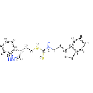 S=C(NCCC1=CCc2ccccc21)SCCc1c[nH]c2ccccc12